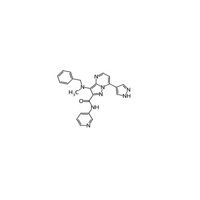 CN(Cc1ccccc1)c1c(C(=O)Nc2cccnc2)nn2c(-c3cn[nH]c3)ccnc12